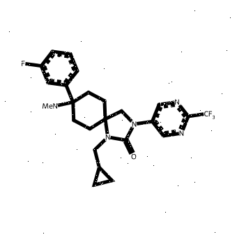 CNC1(c2cccc(F)c2)CCC2(CC1)CN(c1cnc(C(F)(F)F)nc1)C(=O)N2CC1CC1